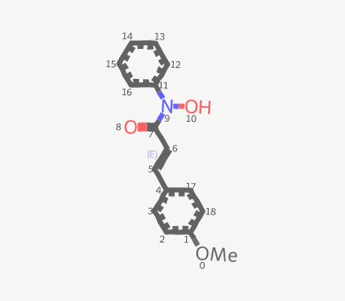 COc1ccc(/C=C/C(=O)N(O)c2ccccc2)cc1